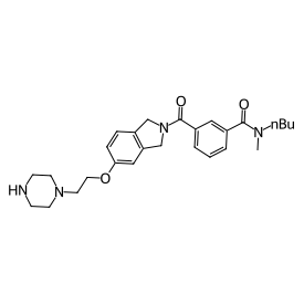 CCCCN(C)C(=O)c1cccc(C(=O)N2Cc3ccc(OCCN4CCNCC4)cc3C2)c1